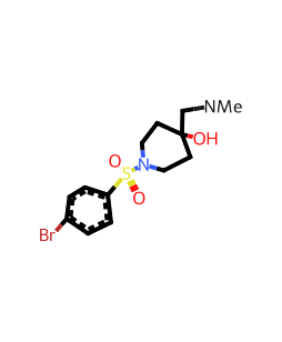 CNCC1(O)CCN(S(=O)(=O)c2ccc(Br)cc2)CC1